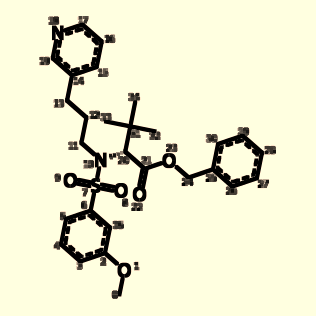 COc1cccc(S(=O)(=O)N(CCCc2cccnc2)[C@@H](C(=O)OCc2ccccc2)C(C)(C)C)c1